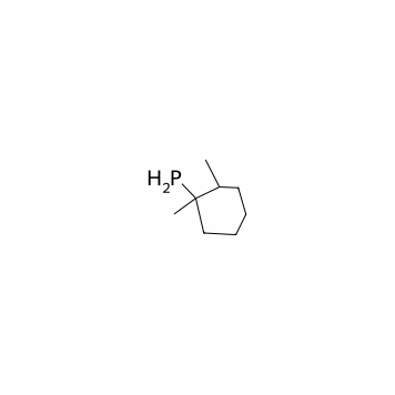 CC1CCCCC1(C)P